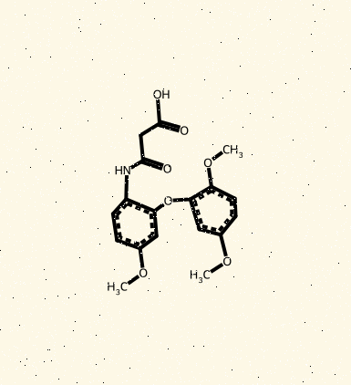 COc1ccc(NC(=O)CC(=O)O)c(Oc2cc(OC)ccc2OC)c1